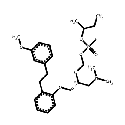 CCC(C)OP(=O)(F)OCO[C@@H](COc1ccccc1CCc1cccc(OC)c1)CN(C)C